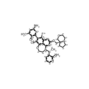 Cc1cc(N)nc(-c2c(Cl)c3c4c(nc(OC[C@]56CCCN5CCOC6)nc4c2F)N([C@H](C)c2cccnc2N)CCO3)c1C(F)(F)F